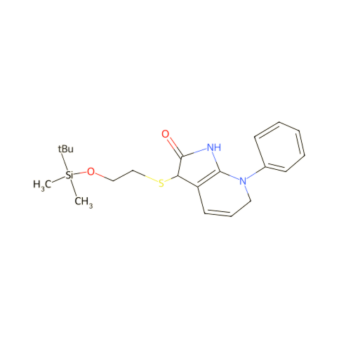 CC(C)(C)[Si](C)(C)OCCSC1C(=O)NC2=C1C=CCN2c1ccccc1